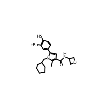 Cc1c(C(=O)NC2COC2)cc(-c2ccc(S)c(C(C)(C)C)c2)n1CC1CCCCC1